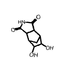 O=C1NC(=O)C2C3CC(C(O)C3O)C12